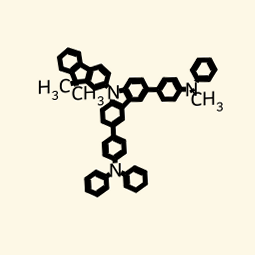 CN(C1=CC=C(c2ccc3c(c2)c2c(n3-c3ccc4c(c3)C(C)(C)C3=C4C=CCC3)CCC(c3ccc(N(C4=CCCC=C4)c4ccccc4)cc3)=C2)CC1)c1ccccc1